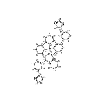 c1cc(-c2ccc3c(c2)C2(c4ccccc4-c4ccccc42)c2cc(-c4cccc(-c5cocn5)c4)c4ccccc4c2-3)cc(-c2cocn2)c1